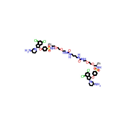 CC(C)[C@@H](COCCOCCNC(=O)NCCCCNC(=O)NCCOCCOC[C@@H](NS(=O)(=O)c1ccc(O[C@H]2c3cc(Cl)cc(Cl)c3C[C@@H]2N2CCC[C@@H](N)C2)cc1)C(C)C)NS(=O)(=O)c1ccc(O[C@H]2c3cc(Cl)cc(Cl)c3C[C@@H]2N2CCC[C@@H](N)C2)cc1